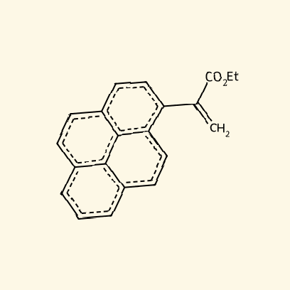 C=C(C(=O)OCC)c1ccc2ccc3cccc4ccc1c2c34